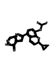 O=c1[nH]ncc2[nH]c(-c3ccc(OC(F)F)c4c3C=CC(C3CC3)O4)cc12